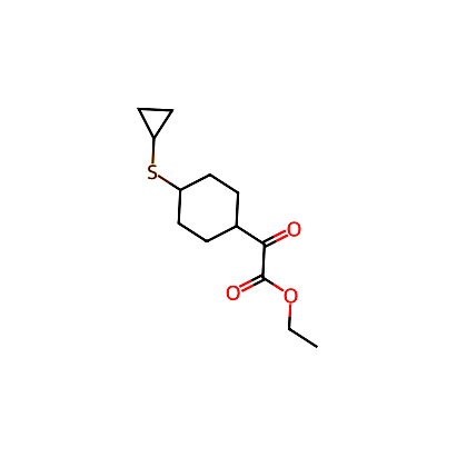 CCOC(=O)C(=O)C1CCC(SC2CC2)CC1